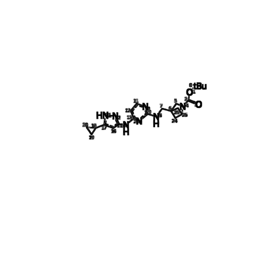 CC(C)(C)OC(=O)N1CC2(CNc3nccc(Nc4cc(C5CC5)[nH]n4)n3)CC1C2